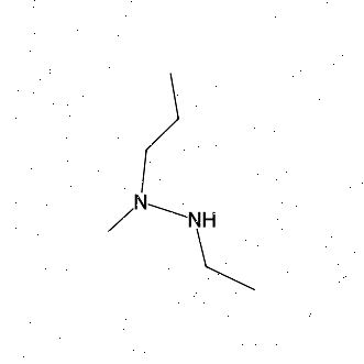 CCCN(C)NCC